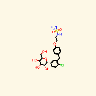 NS(=O)(=O)NCCOc1ccc(Cc2cc([C@H]3OC(CO)C(O)[C@H](O)[C@H]3O)ccc2Cl)cc1